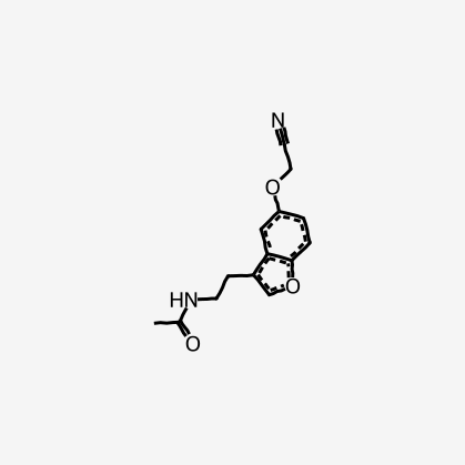 CC(=O)NCCc1coc2ccc(OCC#N)cc12